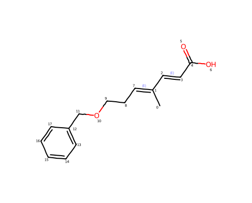 CC(/C=C/C(=O)O)=C\CCOCc1ccccc1